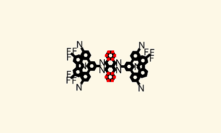 N#Cc1ccc(-c2cc(-c3nc(-c4ccccc4)c(-c4c(-c5ccccc5)nc(-c5cc(-c6ccc(C#N)cc6)c(-n6c7ccc(C(F)(F)F)cc7c7cc(C(F)(F)F)ccc76)c(-c6ccc(C#N)cc6)c5)nc4-c4ccccc4)c(-c4ccccc4)n3)cc(-c3ccc(C#N)cc3)c2-n2c3ccccc3c3cc(C(F)(F)F)ccc32)cc1